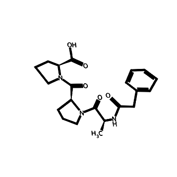 C[C@H](NC(=O)Cc1ccccc1)C(=O)N1CCC[C@H]1C(=O)N1CCC[C@H]1C(=O)O